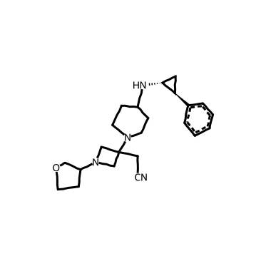 N#CCC1(N2CCC(N[C@@H]3C[C@H]3c3ccccc3)CC2)CN(C2CCOC2)C1